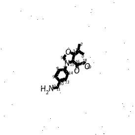 CC(C)=C1OCN(c2ccc(CN)cc2)C1C(=O)C=O